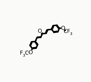 O=C(C=Cc1ccc(OC(F)(F)F)cc1)C=Cc1ccc(OC(F)(F)F)cc1